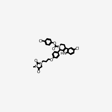 CN1C(=O)CN(CCCOc2ccc(C3c4[nH]c5ccc(Cl)cc5c4CCN3C(=O)Oc3ccc(Cl)cc3)cc2)C1=O